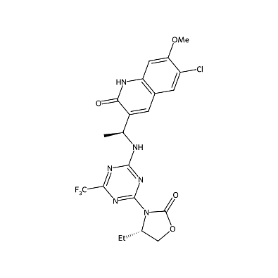 CC[C@H]1COC(=O)N1c1nc(N[C@@H](C)c2cc3cc(Cl)c(OC)cc3[nH]c2=O)nc(C(F)(F)F)n1